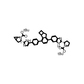 CC(C)(C)OC(=O)N1CCC[C@H]1c1nc2ccc(-c3ccc(-c4ccc(-c5cnc([C@@H]6CC7CC7N6C(=O)OC(C)(C)C)[nH]5)cc4)c4c3CC3CCC43)cc2[nH]1